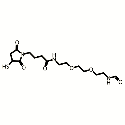 O=CNCCOCCOCCNC(=O)CCCN1C(=O)CC(S)C1=O